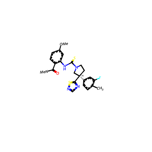 CNC(=O)c1ccc(OC)cc1NC(=S)N1CC[C@@](c2ccc(C)c(F)c2)(c2ncns2)C1